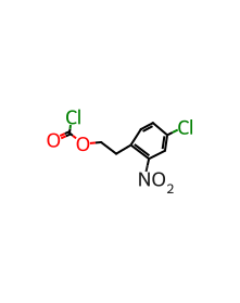 O=C(Cl)OCCc1ccc(Cl)cc1[N+](=O)[O-]